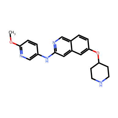 COc1ccc(Nc2cc3cc(OC4CCNCC4)ccc3cn2)cn1